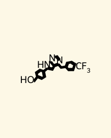 OCc1ccc(-c2cc3c(Cc4ccc(C(F)(F)F)cc4)ncnc3[nH]2)cc1